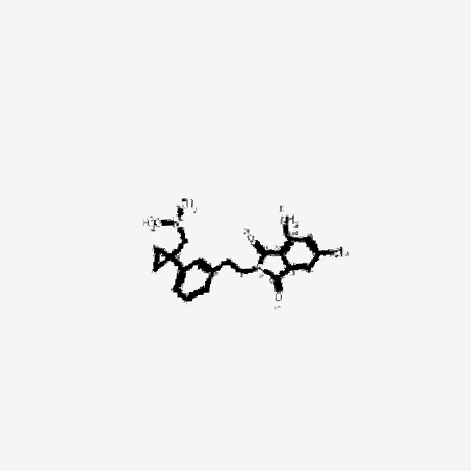 CN(C)CC1(c2cccc(CCN3C(=O)c4cc(Cl)cc(N)c4C3=O)c2)CC1